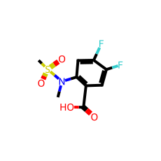 CN(c1cc(F)c(F)cc1C(=O)O)S(C)(=O)=O